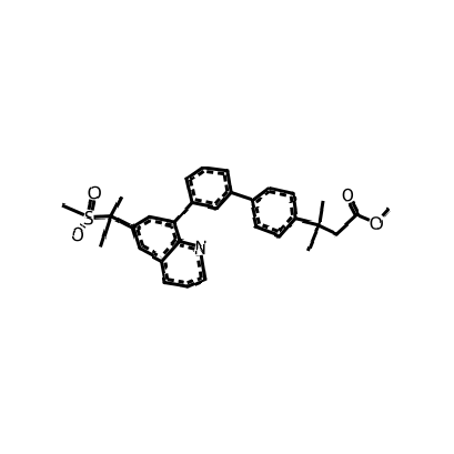 COC(=O)CC(C)(C)c1ccc(-c2cccc(-c3cc(C(C)(C)S(C)(=O)=O)cc4cccnc34)c2)cc1